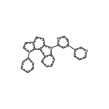 c1ccc(-n2ccc3ccc4c(c5ccccc5n4-c4cc(-c5cccnc5)ccn4)c32)cc1